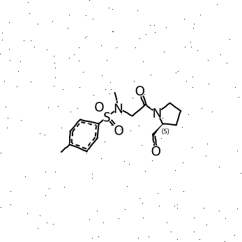 Cc1ccc(S(=O)(=O)N(C)CC(=O)N2CCC[C@H]2C=O)cc1